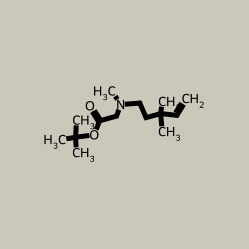 C=CC(C)(C)CCN(C)CC(=O)OC(C)(C)C